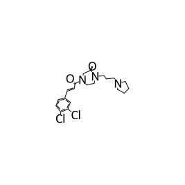 O=C(/C=C/c1ccc(Cl)c(Cl)c1)N1CCN(CCCN2CCCC2)C(=O)C1